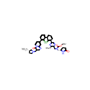 COc1nc(-c2cccc(-c3cccc(-c4ccn5c(=O)c(CN6CC[C@H](C(=O)O)C6)cnc5c4)c3Cl)c2Cl)cnc1CN(C[C@@H]1CCC(=O)N1)C(=O)OC(C)(C)C